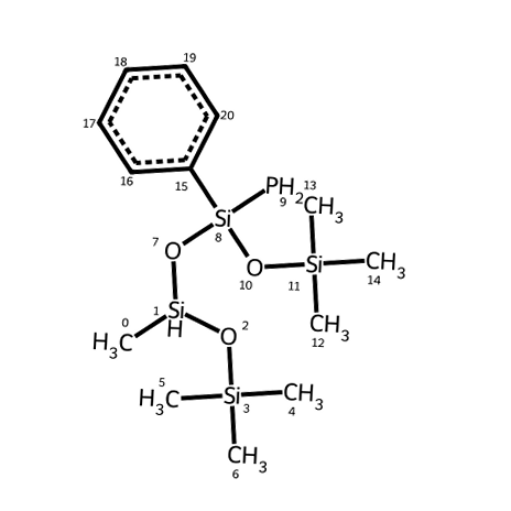 C[SiH](O[Si](C)(C)C)O[Si](P)(O[Si](C)(C)C)c1ccccc1